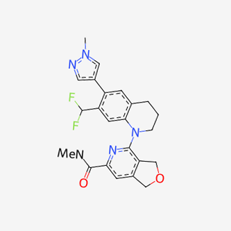 CNC(=O)c1cc2c(c(N3CCCc4cc(-c5cnn(C)c5)c(C(F)F)cc43)n1)COC2